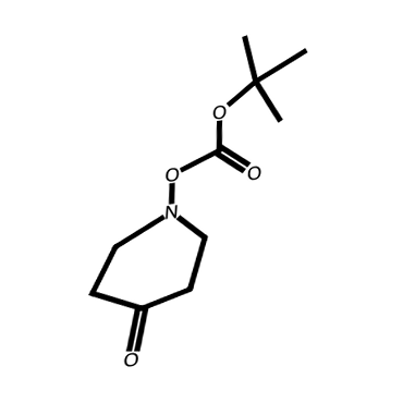 CC(C)(C)OC(=O)ON1CCC(=O)CC1